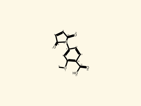 COc1cc(N2C(=O)C=CC2=O)ccc1C(=O)O